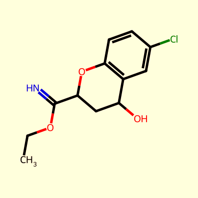 CCOC(=N)C1CC(O)c2cc(Cl)ccc2O1